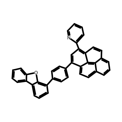 c1ccc(-c2cc(-c3ccc(-c4cccc5c4oc4ccccc45)cc3)c3ccc4cccc5ccc2c3c45)nc1